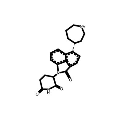 O=C1CCC(N2C(=O)c3ccc([C@@H]4CCCNCC4)c4cccc2c34)C(=O)N1